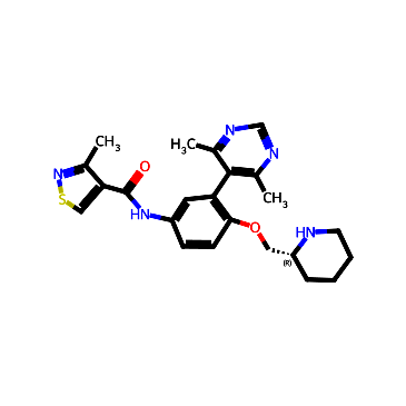 Cc1nscc1C(=O)Nc1ccc(OC[C@H]2CCCCN2)c(-c2c(C)ncnc2C)c1